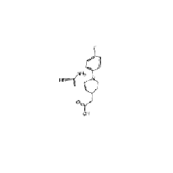 CC(=N)N.O=C(O)CC1CCN(c2ccc(F)cc2)CC1